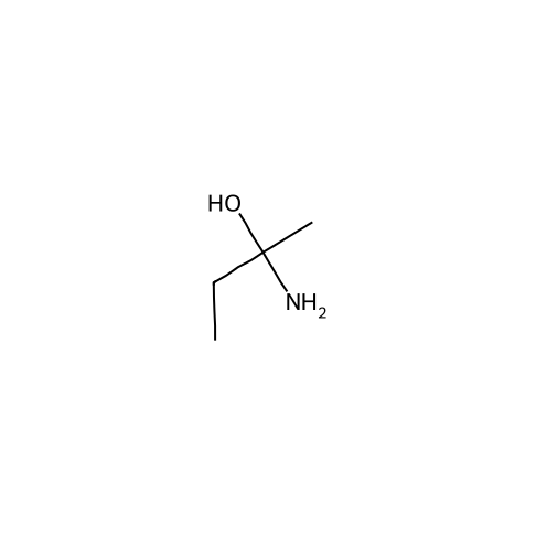 CCC(C)(N)O